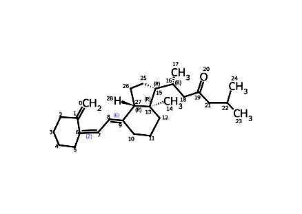 C=C1CCCC/C1=C/C=C1\CCC[C@]2(C)[C@@H]([C@H](C)CC(=O)CC(C)C)CC[C@@H]12